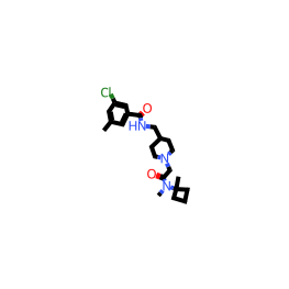 Cc1cc(Cl)cc(C(=O)NCC2CCN(CC(=O)N(C)C3(C)CCC3)CC2)c1